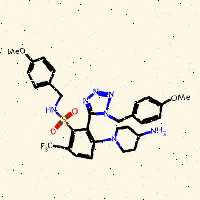 COc1ccc(CNS(=O)(=O)c2c(C(F)(F)F)ccc(N3CCC(N)CC3)c2-c2nnnn2Cc2ccc(OC)cc2)cc1